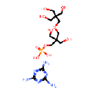 Nc1nc(N)nc(N)n1.O=P(O)(O)OCC(CO)(CO)COCC(CO)(CO)CO